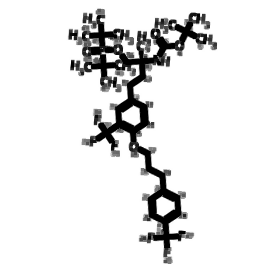 CC(C)(C)OC(=O)N[C@](C)(CCc1ccc(OCCCc2ccc(C(F)(F)F)cc2)c(C(F)(F)F)c1)COP(=O)(C(C)(C)C)C(C)(C)C